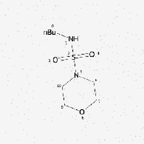 CCCCNS(=O)(=O)N1CCOCC1